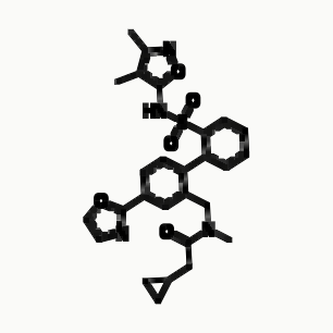 Cc1noc(NS(=O)(=O)c2ccccc2-c2ccc(-c3ncco3)cc2CN(C)C(=O)CC2CC2)c1C